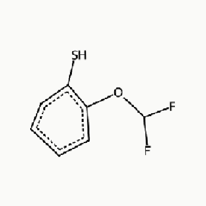 FC(F)Oc1ccccc1S